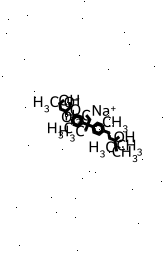 CCC(CC)(c1ccc(CCC(O)C(C)(C)C)c(C)c1)c1ccc(OC(C[C@@H](C)O)C(=O)[O-])c(C)c1.[Na+]